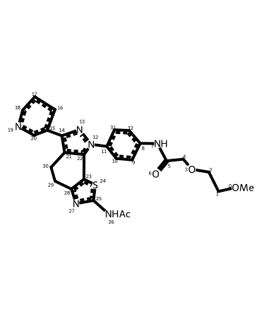 COCCOCC(=O)Nc1ccc(-n2nc(-c3cccnc3)c3c2-c2sc(NC(C)=O)nc2CC3)cc1